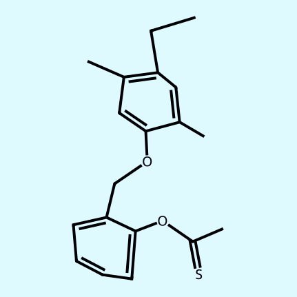 CCc1cc(C)c(OCc2ccccc2OC(C)=S)cc1C